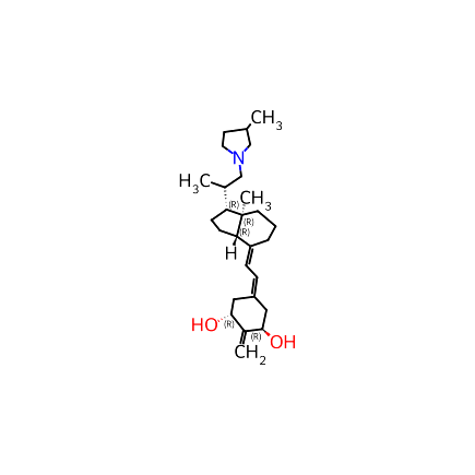 C=C1[C@H](O)CC(=CC=C2CCC[C@]3(C)[C@@H](C(C)CN4CCC(C)C4)CC[C@@H]23)C[C@H]1O